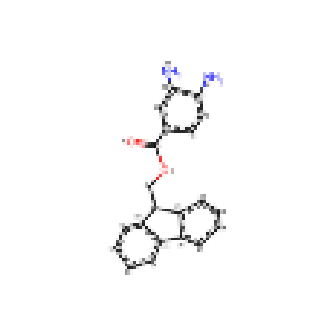 Nc1ccc(C(=O)OCC2c3ccccc3-c3ccccc32)cc1N